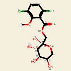 COc1c(Cl)ccc(Cl)c1C(=O)OC[C@@]1(O)OC[C@@H](O)[C@@H](O)[C@@H]1O